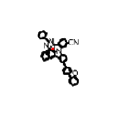 N#Cc1ccc(-c2nc(-c3ccccc3)nc(-c3ccccc3)n2)c(-n2c3ccccc3c3cc(-c4ccc5c(c4)oc4ccccc45)ccc32)c1